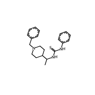 CC(NC(=S)Nc1ccccc1)C1CCN(Cc2ccccc2)CC1